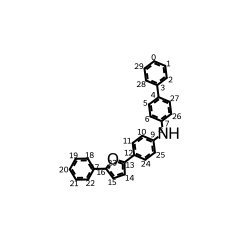 c1ccc(-c2ccc(Nc3ccc(-c4ccc(-c5ccccc5)o4)cc3)cc2)cc1